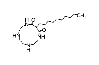 CCCCCCCCCCC1C(=O)NCCNCCNCCNC1=O